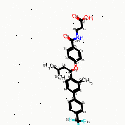 Cc1cc(-c2ccc(C(F)(F)F)cc2)ccc1C(CC(C)C)Oc1ccc(C(=O)NCCC(=O)O)cc1